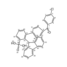 O=C(c1ccc(Cl)cc1)c1ccc(-c2cccc(P(=O)(O)O)c2C2c3ccccc3-c3ccccc32)cc1